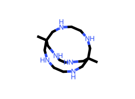 CC12CNCCNCC(C)(CNCCNC1)CNCCNC2